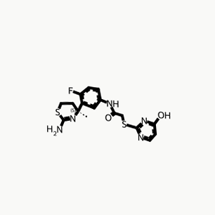 C[C@@]1(c2cc(NC(=O)CSc3nccc(O)n3)ccc2F)CCSC(N)=N1